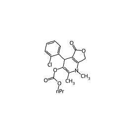 CCCOC(=O)OC1=C(C)N(C)C2=C(C(=O)OC2)C1c1ccccc1Cl